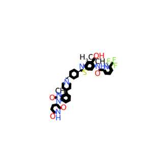 Cn1c(=O)n(C2CCC(=O)NC2=O)c2cccc(C3CCN(C[C@H]4CC[C@H](c5nc6cc(C(C)(C)O)c(NC(=O)c7cccc(C(F)(F)F)n7)cc6s5)CC4)CC3)c21